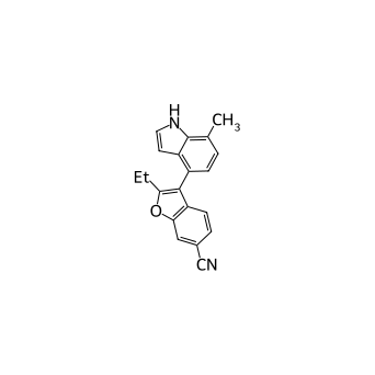 CCc1oc2cc(C#N)ccc2c1-c1ccc(C)c2[nH]ccc12